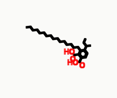 CCCCCCCCCCCCCCCCc1c(C(C)CC)ccc(C(=O)O)c1C(=O)O